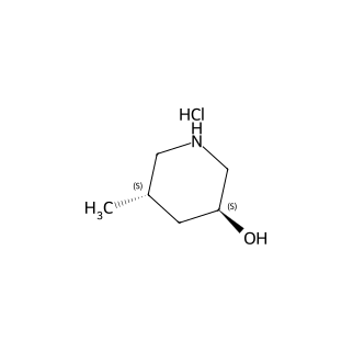 C[C@@H]1CNC[C@@H](O)C1.Cl